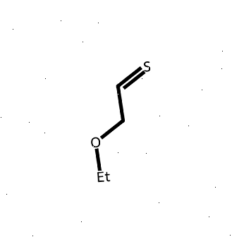 [CH2]COCC=S